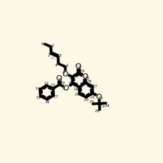 CC/C=C/CCOc1c(OC(=O)c2ccccc2)c2ccc(OC(C)(C)C)cc2oc1=O